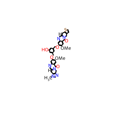 COc1cc2c(cc1OCc1cc(O)cc(COc3cc4c(cc3OC)C(=O)N3Cc5ncn(C)c5C[C@H]3C=N4)c1)N=C[C@@H]1Cc3sccc3CN1C2=O